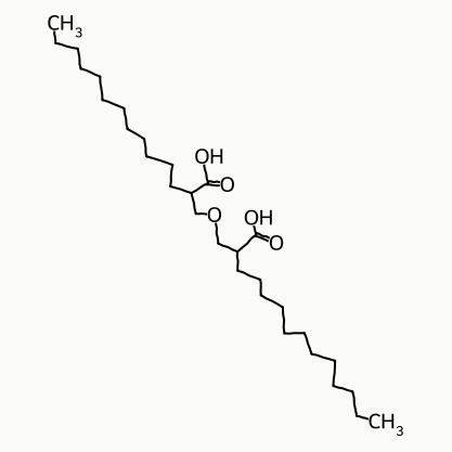 CCCCCCCCCCCCC(COCC(CCCCCCCCCCCC)C(=O)O)C(=O)O